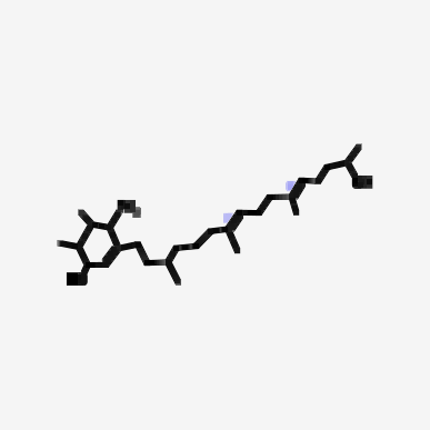 C/C(=C\CCC(C)O)CC/C=C(\C)CCCC(C)CCC1=CC(O)C(C)C(C)C1P